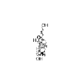 C[C@]12CCC(O)C[C@H]1CC[C@@H]1[C@@H]2CC[C@]2(C)[C@@H](C(=O)CSCCO)CC[C@@H]12